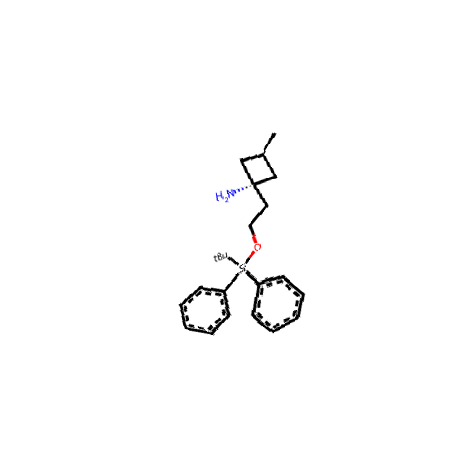 CC(C)(C)[Si](OCC[C@]1(N)C[C@H](C)C1)(c1ccccc1)c1ccccc1